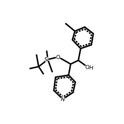 Cc1cccc(C(O)C(O[Si](C)(C)C(C)(C)C)c2ccncc2)c1